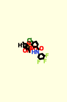 CC(O)[C@@]1(O)CC2[C@H](C)C1[C@@H]2S(=O)(=O)c1cc(C(=O)Nc2cc(F)c(F)c(F)c2)ccc1Cl